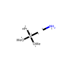 CCC[Si](C)(OC)OC.CN